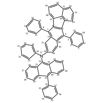 c1ccc(-c2c3c(c(-c4ccccc4)c4cc(N(c5ccccc5)c5c6ccccc6c(-c6ccccc6)c6ccccc56)ccc24)-c2cccc4cccc-3c24)cc1